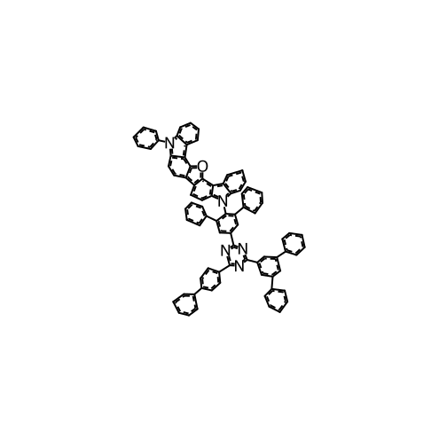 c1ccc(-c2ccc(-c3nc(-c4cc(-c5ccccc5)cc(-c5ccccc5)c4)nc(-c4cc(-c5ccccc5)c(-n5c6ccccc6c6c7oc8c(ccc9c8c8ccccc8n9-c8ccccc8)c7ccc65)c(-c5ccccc5)c4)n3)cc2)cc1